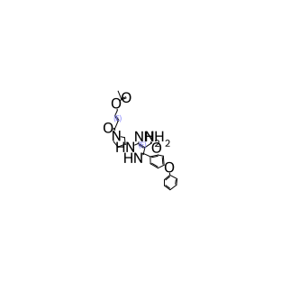 CC(=O)OC/C=C/C(=O)N1CCC(N/C(N)=C(\C(=N)c2ccc(Oc3ccccc3)cc2)C(N)=O)C1